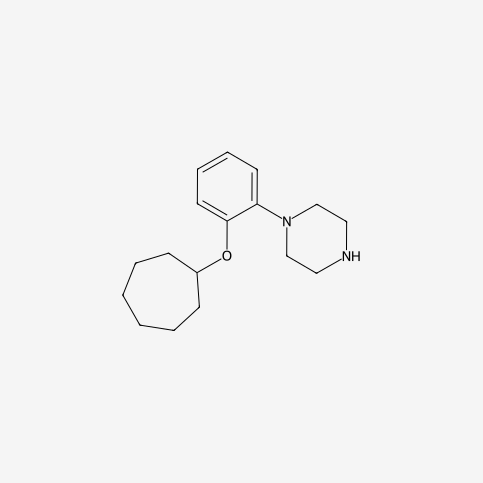 c1ccc(N2CCNCC2)c(OC2CCCCCC2)c1